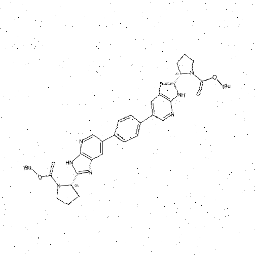 CC(C)(C)OC(=O)N1CCC[C@H]1c1nc2cc(-c3ccc(-c4cnc5[nH]c([C@@H]6CCCN6C(=O)OC(C)(C)C)nc5c4)cc3)cnc2[nH]1